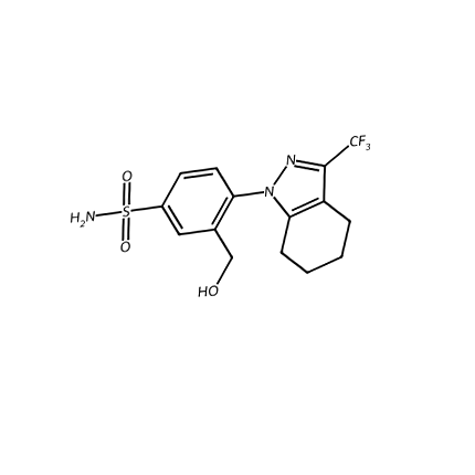 NS(=O)(=O)c1ccc(-n2nc(C(F)(F)F)c3c2CCCC3)c(CO)c1